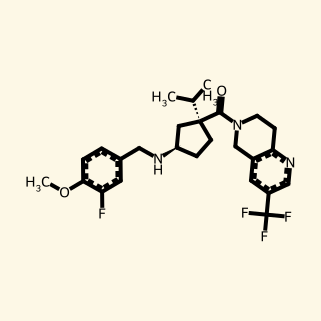 COc1ccc(CN[C@@H]2CC[C@@](C(=O)N3CCc4ncc(C(F)(F)F)cc4C3)(C(C)C)C2)cc1F